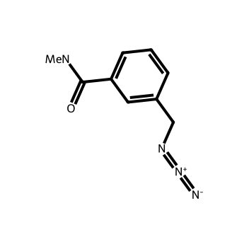 CNC(=O)c1cccc(CN=[N+]=[N-])c1